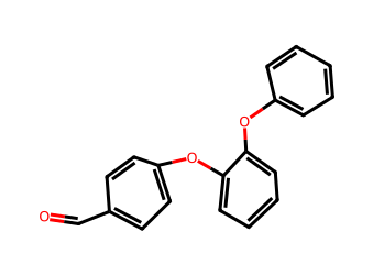 O=Cc1ccc(Oc2ccccc2Oc2ccccc2)cc1